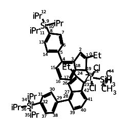 CCC1=Cc2c(-c3ccc([Si](C(C)C)(C(C)C)C(C)C)cc3)cccc2[CH]1[Zr]([Cl])([Cl])([CH]1C(CC)=Cc2c(-c3ccc([Si](C(C)C)(C(C)C)C(C)C)cc3)cccc21)[SiH](C)C